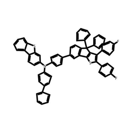 Fc1ccc(-c2sc3c(c2-c2ccc(F)cc2)C(c2ccccc2)(c2ccccc2)c2ccc(-c4ccc(N(c5ccc(-c6ccccc6)cc5)c5ccc6c(c5)sc5ccccc56)cc4)cc2-3)cc1